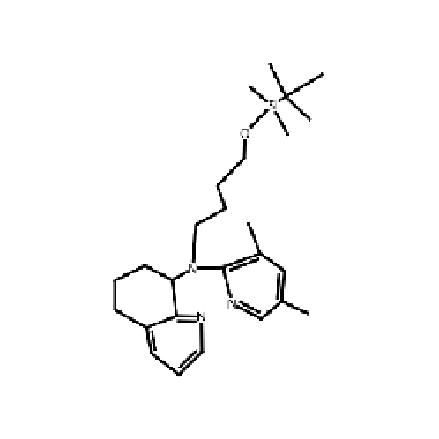 Cc1cnc(N(CCCCO[Si](C)(C)C(C)(C)C)C2CCCc3cccnc32)c(C)c1